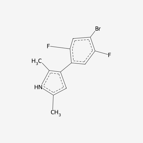 Cc1cc(-c2cc(F)c(Br)cc2F)c(C)[nH]1